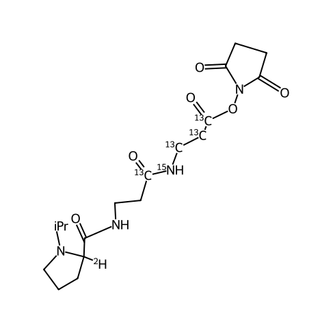 [2H]C1(C(=O)NCC[13C](=O)[15NH][13CH2][13CH2][13C](=O)ON2C(=O)CCC2=O)CCCN1[13CH](C)C